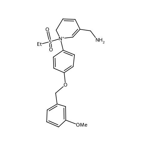 CCS(=O)(=O)[N+]1(c2ccc(OCc3cccc(OC)c3)cc2)C=C(CN)C=CC1